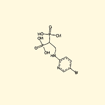 O=P(O)(O)C(CNc1ccc(Br)cn1)P(=O)(O)O